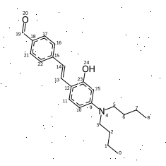 CCCCN(CCCC)c1ccc(/C=C/c2ccc(C=O)cc2)c(O)c1